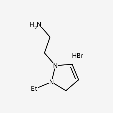 Br.CCN1CC=CN1CCN